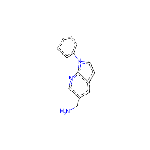 NCc1cnc2c(ccn2-c2ccccc2)c1